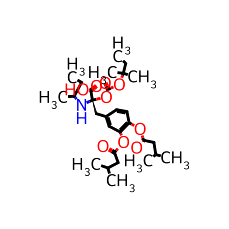 CCC(C)N[C@@](Cc1ccc(OC(=O)CC(C)C)c(OC(=O)CC(C)C)c1)(OC(=O)OC(C)(C)CC)C(=O)O